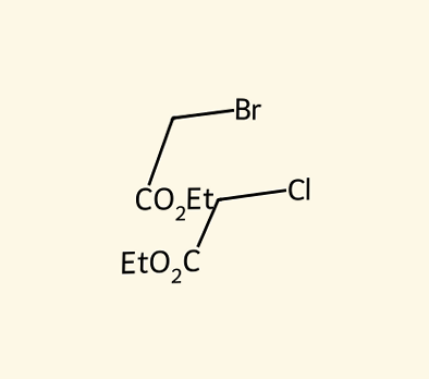 CCOC(=O)CBr.CCOC(=O)CCl